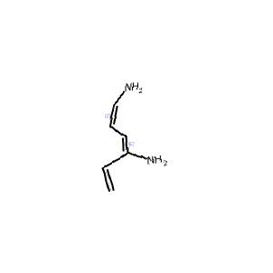 C=C/C(N)=C\C=C/N